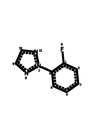 Fc1ccccc1-n1n[c]cn1